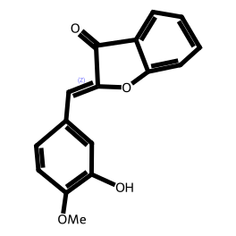 COc1ccc(/C=C2\Oc3ccccc3C2=O)cc1O